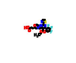 CCOC(=O)C1=C(CN2CCO[C@H](CCC(=O)O)C2)NC(c2nccs2)=N[C@H]1c1ccc(F)c(F)c1F